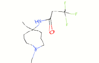 CN1CCC(C)(NC(=O)CC(F)(F)F)CC1